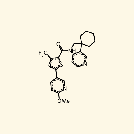 COc1ccc(-c2nc(C(F)(F)F)c(C(=O)NCC3(c4cccnc4)CCCCC3)s2)cn1